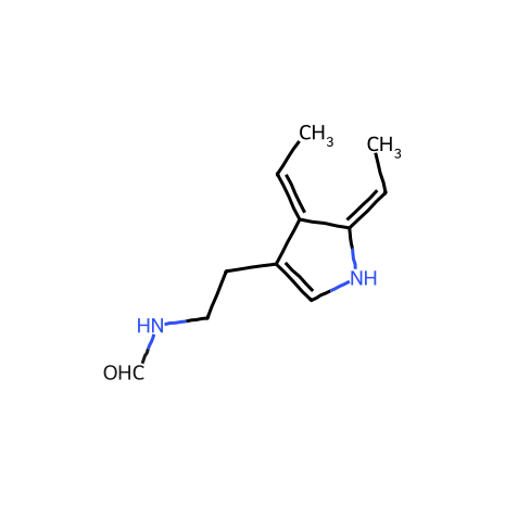 C/C=c1/c(CCNC=O)c[nH]/c1=C/C